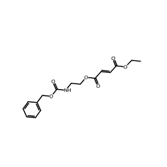 CCOC(=O)/C=C/C(=O)OCCNC(=O)OCc1ccccc1